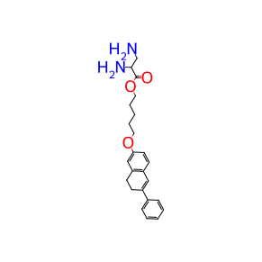 NCC(N)C(=O)OCCCCCOc1ccc2c(c1)CCC(c1ccccc1)=C2